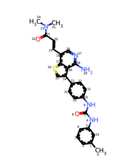 Cc1cccc(NC(=O)Nc2ccc(-c3csc4c(/C=C/C(=O)N(C)C)cnc(N)c34)cc2)c1